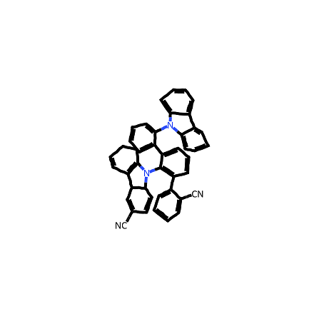 N#CC1=CC2C3=C(CCC=C3)N(c3c(-c4ccccc4C#N)cccc3-c3ccccc3-n3c4ccccc4c4ccccc43)C2C=C1